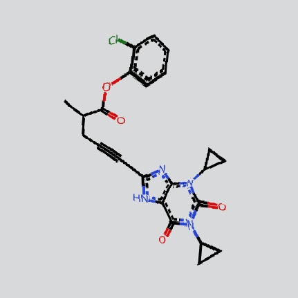 CC(CC#Cc1nc2c([nH]1)c(=O)n(C1CC1)c(=O)n2C1CC1)C(=O)Oc1ccccc1Cl